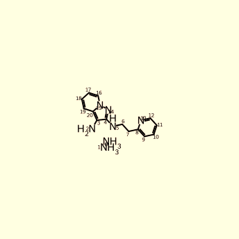 N.N.Nc1c(NCCc2ccccn2)nn2ccccc12